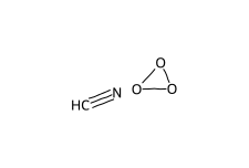 C#N.o1oo1